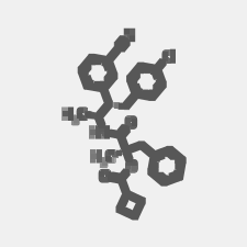 C[C@H](NC(=O)[C@@](C)(Cc1ccccc1)OC(=O)C1CCC1)[C@@H](Cc1ccc(Cl)cc1)c1cccc(C#N)c1